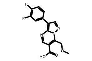 COCc1c(C(=O)O)cnc2c(-c3ccc(F)c(F)c3)cnn12